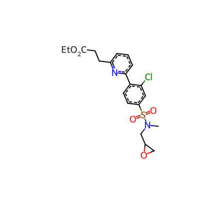 CCOC(=O)CCc1cccc(-c2ccc(S(=O)(=O)N(C)CC3CO3)cc2Cl)n1